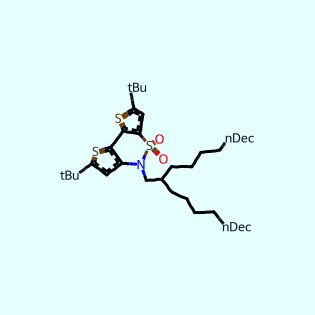 CCCCCCCCCCCCCCC(CCCCCCCCCCCCCC)CN1c2cc(C(C)(C)C)sc2-c2sc(C(C)(C)C)cc2S1(=O)=O